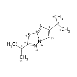 CC(C)c1cc2sc(C(C)C)nn2c1